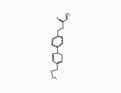 C=CC(=O)OCc1ccc(C2C=CC(COC)=CC2)cc1